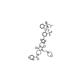 CC(C)CS(=O)(=O)c1ccccc1Oc1ccc(-c2noc(CN3C(=O)N(CCN4CCOCC4)C4(CCN(C(=O)c5ccncn5)CC4)C3=O)n2)cc1C(F)(F)F